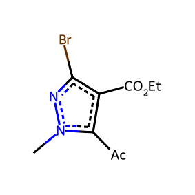 CCOC(=O)c1c(Br)nn(C)c1C(C)=O